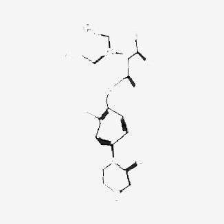 CC(C)(C)CN(CC(F)(F)F)[C@@H](C(N)=O)C(=O)Nc1ccc(N2CCOCC2=O)cc1F